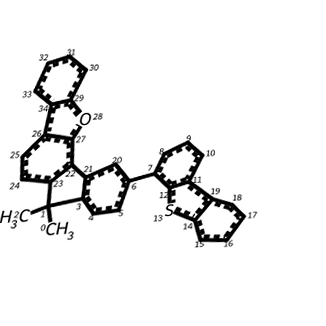 CC1(C)c2ccc(-c3cccc4c3sc3ccccc34)cc2-c2c1ccc1c2oc2ccccc21